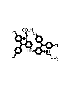 O=C(O)CCNc1ccc(Nc2ccc(NCCC(=O)O)c(C(c3ccc(Cl)cc3)c3ccc(Cl)cc3)c2)cc1C(c1ccc(Cl)cc1)c1ccc(Cl)cc1